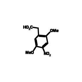 COc1cc([N+](=O)[O-])c(OC)cc1CC(=O)O